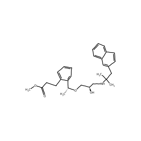 COC(=O)CCc1ccccc1[C@@H](C)OC[C@H](O)CNC(C)(C)Cc1ccc2ccccc2c1